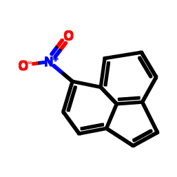 O=[N+]([O-])c1ccc2c3c(cccc13)C=C2